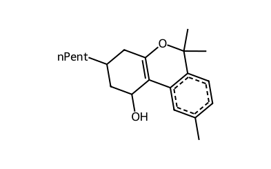 CCCCCC1CC2=C(c3cc(C)ccc3C(C)(C)O2)C(O)C1